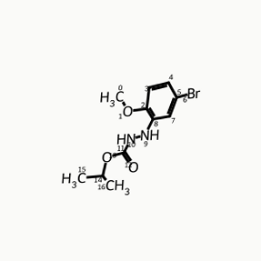 COc1ccc(Br)cc1NNC(=O)OC(C)C